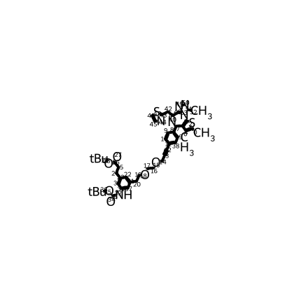 Cc1sc2c(c1C)C(c1ccc(C#CCOCCOCCc3cc(CCC(=O)OC(C)(C)C)cc(NC(=O)OC(C)(C)C)c3)cc1)=NC(Cc1nccs1)c1nnc(C)n1-2